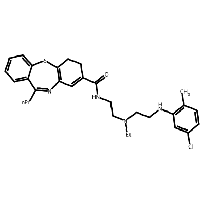 CCCC1=NC2=C(CCC(C(=O)NCCN(CC)CCNc3cc(Cl)ccc3C)=C2)Sc2ccccc21